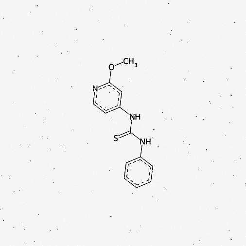 COc1cc(NC(=S)Nc2ccccc2)ccn1